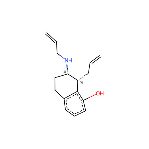 C=CCN[C@H]1CCc2cccc(O)c2[C@H]1CC=C